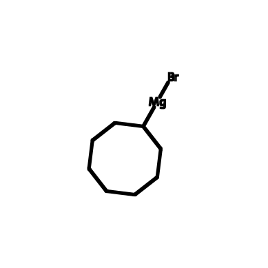 [Br][Mg][CH]1CCCCCCC1